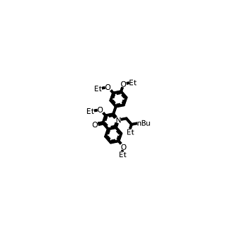 CCCCC(CC)Cn1c(-c2ccc(OCC)c(OCC)c2)c(OCC)c(=O)c2ccc(OCC)cc21